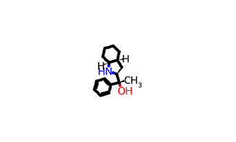 C[C@@](O)(c1ccccc1)[C@@H]1C[C@@H]2CCCC[C@@H]2N1